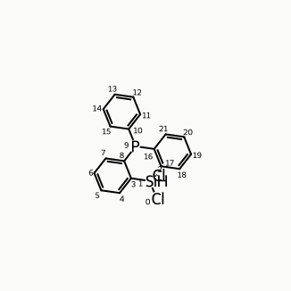 Cl[SiH](Cl)c1ccccc1P(c1ccccc1)c1ccccc1